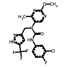 COc1ncc(N(Cc2cc(C(F)(F)F)[nH]n2)C(=O)Nc2ccc(F)c(Cl)c2)c(C)n1